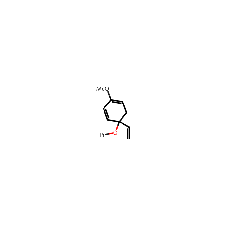 C=CC1(OC(C)C)C=CC(OC)=CC1